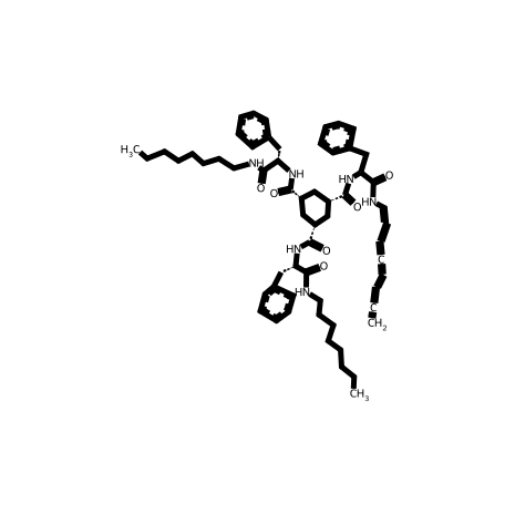 C=C=C=C=C=C=C=CNC(=O)C(Cc1ccccc1)NC(=O)[C@H]1C[C@@H](C(=O)N[C@@H](Cc2ccccc2)C(=O)NCCCCCCCC)C[C@@H](C(=O)N[C@@H](Cc2ccccc2)C(=O)NCCCCCCCC)C1